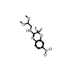 COC(CNC1=Nc2ccc([N+](=O)[O-])cc2OC1(F)F)OC